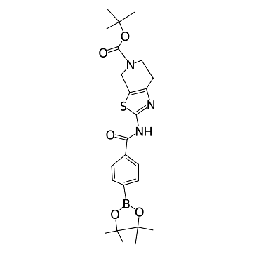 CC(C)(C)OC(=O)N1CCc2nc(NC(=O)c3ccc(B4OC(C)(C)C(C)(C)O4)cc3)sc2C1